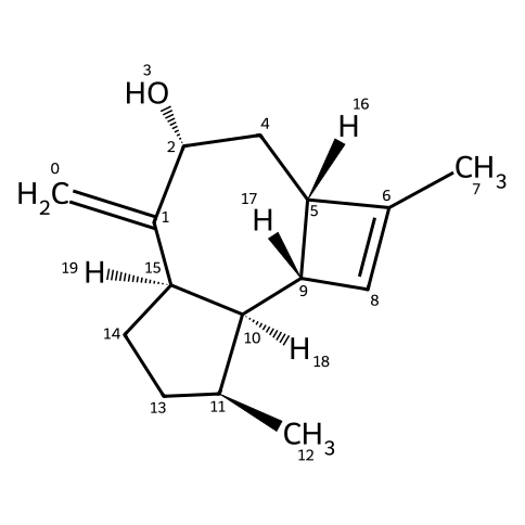 C=C1[C@H](O)C[C@@H]2C(C)=C[C@@H]2[C@H]2[C@@H](C)CC[C@@H]12